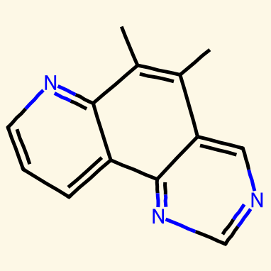 Cc1c(C)c2ncccc2c2ncncc12